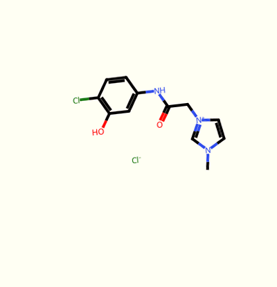 Cn1cc[n+](CC(=O)Nc2ccc(Cl)c(O)c2)c1.[Cl-]